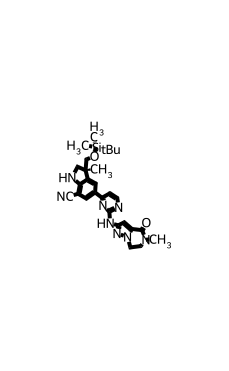 CN1CCn2nc(Nc3nccc(-c4cc(C#N)c5c(c4)[C@@](C)(CO[Si](C)(C)C(C)(C)C)CN5)n3)cc2C1=O